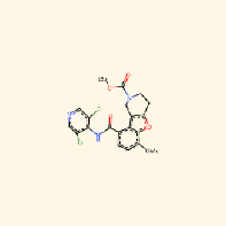 COc1ccc(C(=O)Nc2c(Cl)cncc2Cl)c2c3c(oc12)CCN(C(=O)OC(C)(C)C)C3